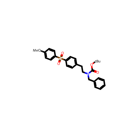 COc1ccc(S(=O)(=O)c2ccc(CCN(Cc3ccccc3)C(=O)OC(C)(C)C)cc2)cc1